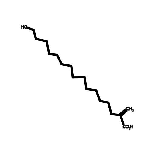 C=C(CCCCCCCCCCCCCCO)C(=O)O